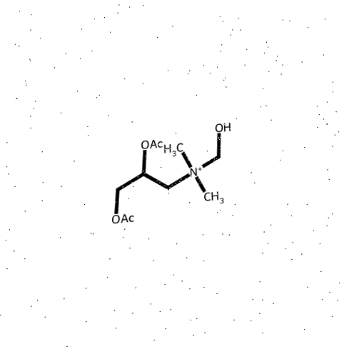 CC(=O)OCC(C[N+](C)(C)CO)OC(C)=O